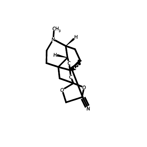 CN1CCC23CC4(CC[C@H]2[C@H]1Cc1ccc(C#N)cc13)OCCO4